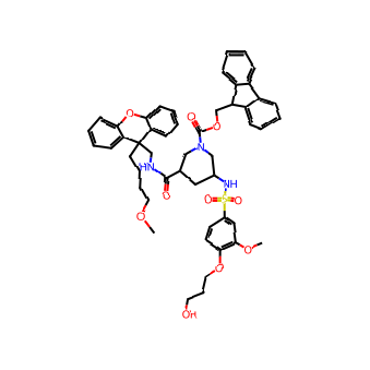 COCCCCC1(CNC(=O)C2CC(NS(=O)(=O)c3ccc(OCCCO)c(OC)c3)CN(C(=O)OCC3c4ccccc4-c4ccccc43)C2)c2ccccc2Oc2ccccc21